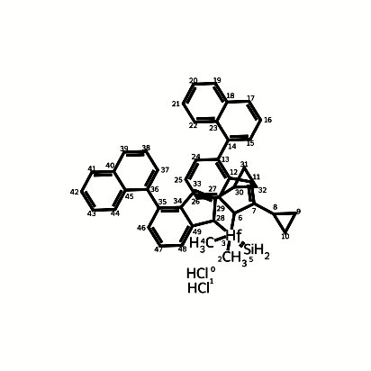 Cl.Cl.[CH3][Hf]([CH3])(=[SiH2])([CH]1C(C2CC2)=Cc2c(-c3cccc4ccccc34)cccc21)[CH]1C(C2CC2)=Cc2c(-c3cccc4ccccc34)cccc21